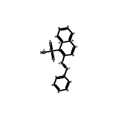 O=S(=O)(O)c1c(/N=N/c2ccccc2)ccc2ccccc12